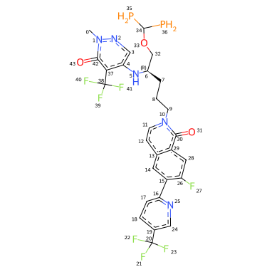 Cn1ncc(N[C@H](CCCn2ccc3cc(-c4ccc(C(F)(F)F)cn4)c(F)cc3c2=O)COC(P)P)c(C(F)(F)F)c1=O